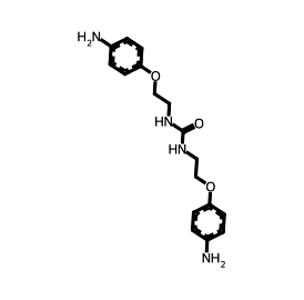 Nc1ccc(OCCNC(=O)NCCOc2ccc(N)cc2)cc1